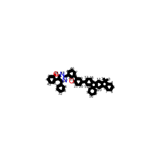 CC1(C)c2ccccc2-c2cc3c(cc21)-c1ccc(-c2ccc4oc5c(-c6nc(-c7ccccc7)c7c(n6)oc6ccccc67)cccc5c4c2)cc1C31CCCCC1